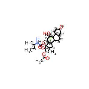 CCC(C)NC(=O)O[C@@]1(C(=O)COC(C)=O)[C@@H](C)CC2C3CCC4=CC(=O)C=C[C@]4(C)C3(F)[C@@H](O)C[C@@]21C